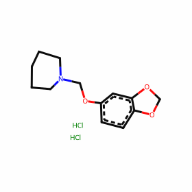 Cl.Cl.c1cc2c(cc1OCN1CCCCC1)OCO2